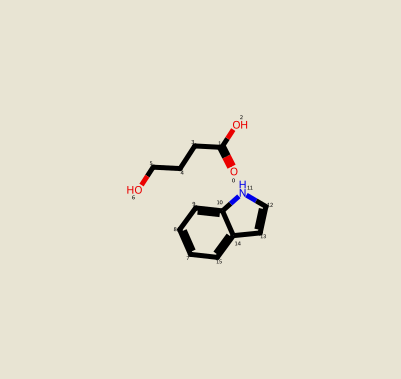 O=C(O)CCCO.c1ccc2[nH]ccc2c1